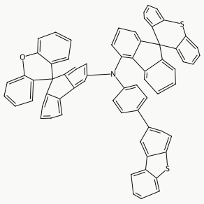 c1ccc2c(c1)Oc1ccccc1C21c2ccccc2-c2cc(N(c3ccc(-c4ccc5sc6ccccc6c5c4)cc3)c3cccc4c3-c3ccccc3C43c4ccccc4Sc4ccccc43)ccc21